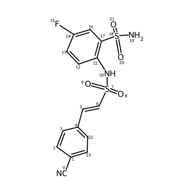 N#Cc1ccc(C=CS(=O)(=O)Nc2ccc(F)cc2S(N)(=O)=O)cc1